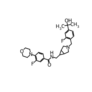 CC(C)(O)c1ccc(CN2CC3C(CNC(=O)c4ccc(N5CCOCC5)c(F)c4)C3C2)c(F)c1